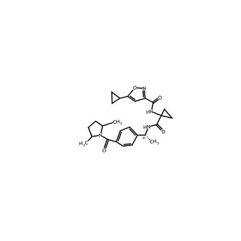 CC1CCC(C)N1C(=O)c1ccc([C@@H](C)NC(=O)C2(NC(=O)c3cc(C4CC4)on3)CC2)cc1